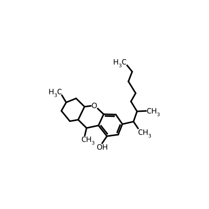 CCCCCC(C)C(C)c1cc(O)c2c(c1)OC1CC(C)CCC1C2C